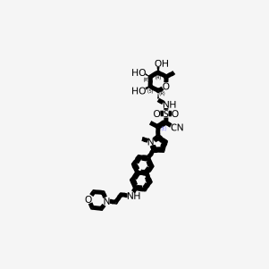 C/C(=C(/C#N)S(=O)(=O)NC[C@H]1OC(C)[C@H](O)[C@@H](O)[C@@H]1O)c1ccc(-c2ccc3cc(NCCN4CCOCC4)ccc3c2)n1C